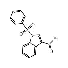 CCC(=O)c1cn(S(=O)(=O)c2ccccc2)c2ccccc12